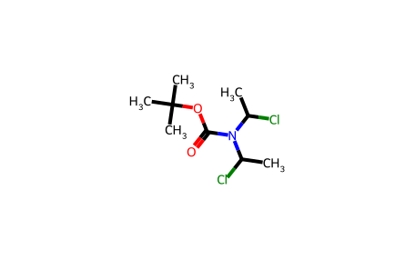 CC(Cl)N(C(=O)OC(C)(C)C)C(C)Cl